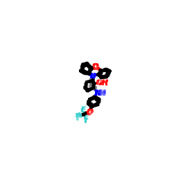 O[C@H]1[C@H](Nc2ccc(OC(F)(F)F)cc2)CCC[C@@H]1N1c2ccccc2Oc2ccccc21